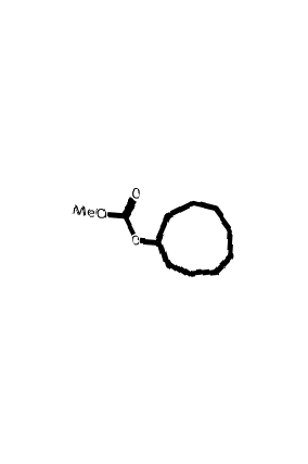 COC(=O)OC1CCCCCCCC1